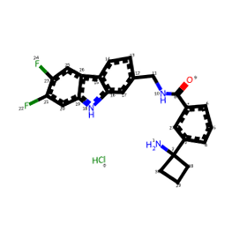 Cl.NC1(c2cccc(C(=O)NCc3ccc4c(c3)[nH]c3cc(F)c(F)cc34)c2)CCC1